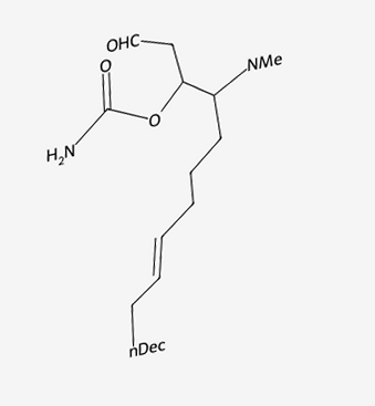 CCCCCCCCCCCC=CCCCC(NC)C(CC=O)OC(N)=O